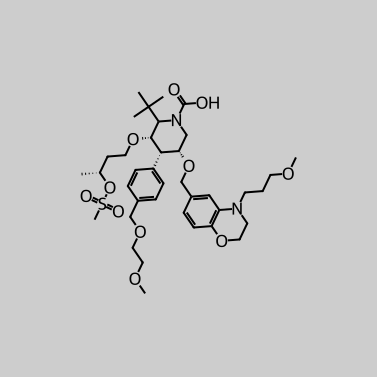 COCCCN1CCOc2ccc(CO[C@H]3CN(C(=O)O)C(C(C)(C)C)[C@@H](OCC[C@@H](C)OS(C)(=O)=O)[C@H]3c3ccc(COCCOC)cc3)cc21